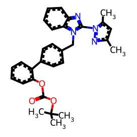 Cc1cc(C)n(-c2nc3ccccc3n2Cc2ccc(-c3ccccc3OC(=O)OC(C)(C)C)cc2)n1